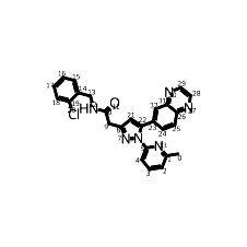 Cc1cccc(-n2nc(CC(=O)NCc3ccccc3Cl)cc2-c2ccc3nccnc3c2)n1